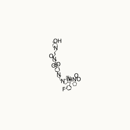 COC(=O)N[C@H]1CCC[C@@H]1C(CN1CCC1)(c1cccc(F)c1)C1CCN(CC2CN(c3ccc(S(=O)(=O)C4CN(C(=O)/C=C/CN5CCC(C)(O)CC5)C4)cc3)C2)CC1